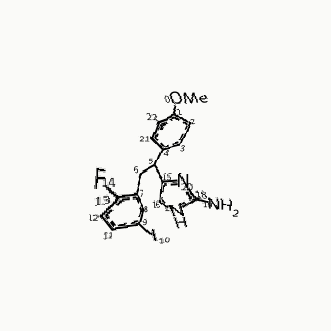 COc1ccc(C(Cc2cc(I)ccc2F)c2c[nH]c(N)n2)cc1